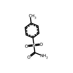 Cc1ccc(S(=O)(=O)C(N)=O)cc1